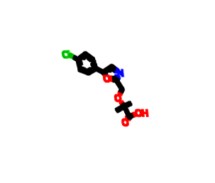 CC(C)(OCc1ncc(-c2ccc(Cl)cc2)o1)C(=O)O